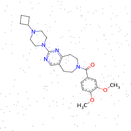 COc1ccc(C(=O)N2CCc3cnc(N4CCN(C5CCC5)CC4)nc3CC2)cc1OC